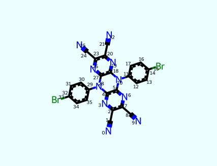 N#Cc1nc2c(nc1C#N)N(c1ccc(Br)cc1)c1nc(C#N)c(C#N)nc1N2c1ccc(Br)cc1